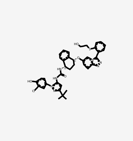 CC(C)(C)c1cc(NC(=O)N[C@H]2CC[C@@H](Oc3ccc4nnc(-c5ccccc5SCCO)n4c3)c3ccccc32)n(-c2ccc(O)c(Cl)c2)n1